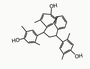 Cc1cc(C(CC(c2cc(C)c(O)cc2C)c2cc(C)c(O)cc2C)c2ccccc2)c(C)cc1O